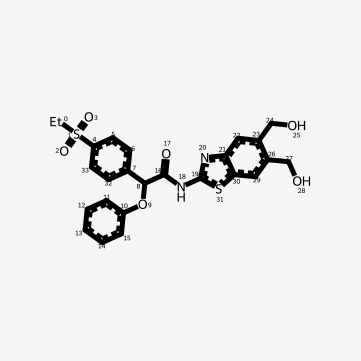 CCS(=O)(=O)c1ccc(C(Oc2ccccc2)C(=O)Nc2nc3cc(CO)c(CO)cc3s2)cc1